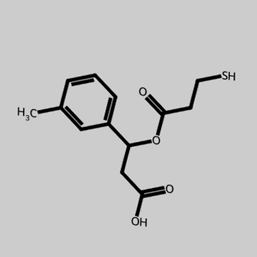 Cc1cccc(C(CC(=O)O)OC(=O)CCS)c1